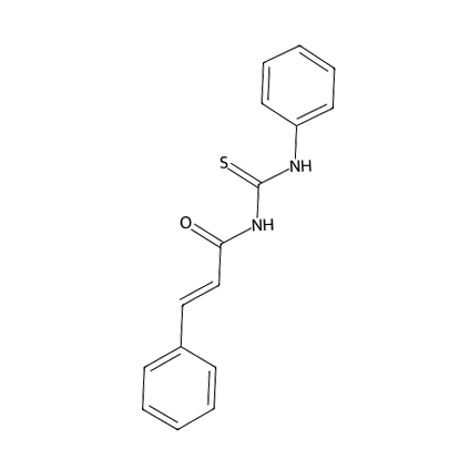 O=C(C=Cc1ccccc1)NC(=S)Nc1ccccc1